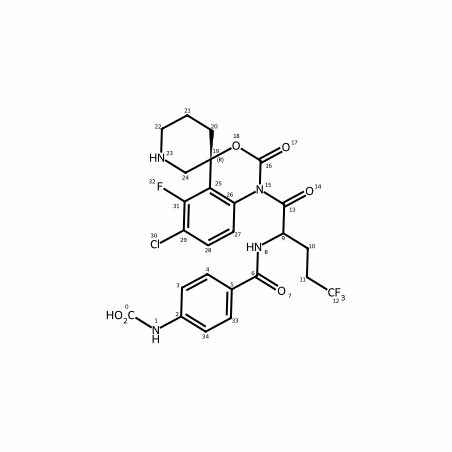 O=C(O)Nc1ccc(C(=O)NC(CCC(F)(F)F)C(=O)N2C(=O)O[C@]3(CCCNC3)c3c2ccc(Cl)c3F)cc1